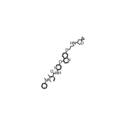 C=C/C(C(=O)Nc1ccc(Oc2ccnc3cc(OCCCNC4COC5(CC5)C4)ccc23)cn1)=C(/C)N(C)N(C)c1ccccc1